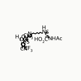 CC(=O)NC(CSC(=S)NCCCCCCc1ccc(N2C(=S)N(c3ccc(C#N)c(C(F)(F)F)c3)C(=O)C2(C)C)cn1)C(=O)O